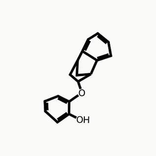 Oc1ccccc1OC1CC2CC1c1ccccc12